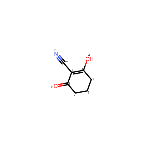 N#CC1=C(O)CCCC1=O